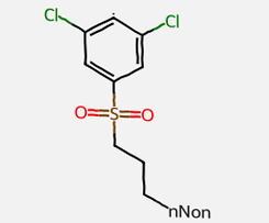 CCCCCCCCCCCCS(=O)(=O)c1cc(Cl)[c]c(Cl)c1